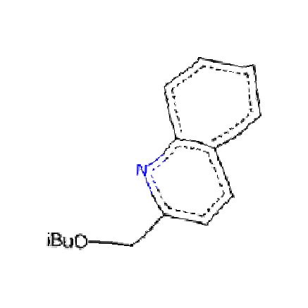 CC(C)COCc1ccc2ccccc2n1